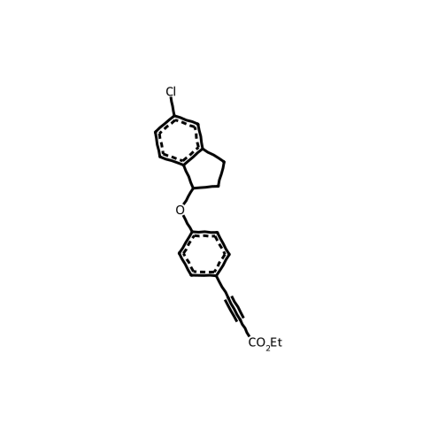 CCOC(=O)C#Cc1ccc(OC2CCc3cc(Cl)ccc32)cc1